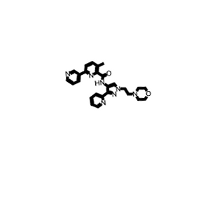 Cc1ccc(-c2cccnc2)nc1C(=O)Nc1cn(CCN2CCOCC2)nc1-c1ccccn1